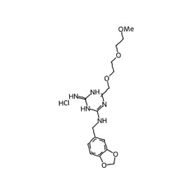 COCCOCCOCCN=C(NCc1ccc2c(c1)OCO2)NC(=N)N.Cl